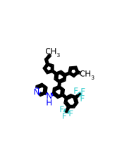 CCCC1CCC(c2cc(-c3cc(Nc4cccnc4)cc(C4=CC(C(F)(F)F)=CCC(C(F)(F)F)=C4)c3)cc(C3CCC(C)C3)c2)C1